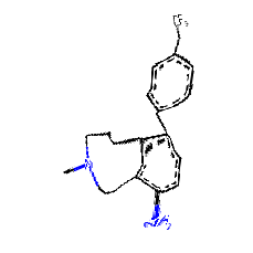 CN1CCc2c(-c3ccc(C(F)(F)F)cc3)ccc(N)c2C1